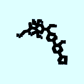 COC(c1ccc(-c2ccc(-c3cn[nH]c3)cc2O)nn1)C1CC(C)(C)N(C(=O)CCN)C(C)(C)C1